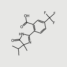 CC(C)C1(C)N=C(c2ccc(C(F)(F)F)cc2C(=O)O)NC1=O